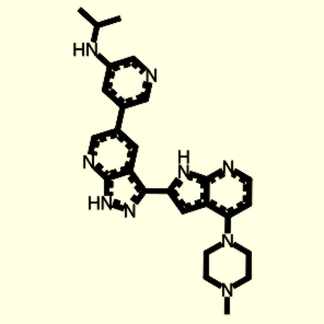 CC(C)Nc1cncc(-c2cnc3[nH]nc(-c4cc5c(N6CCN(C)CC6)ccnc5[nH]4)c3c2)c1